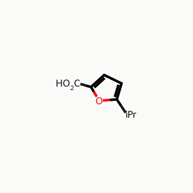 CC(C)c1ccc(C(=O)O)o1